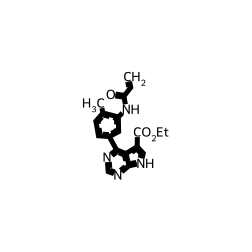 C=CC(=O)Nc1cc(-c2ncnc3[nH]cc(C(=O)OCC)c23)ccc1C